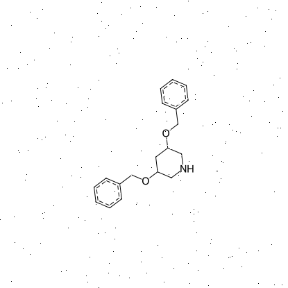 c1ccc(COC2CNCC(OCc3ccccc3)C2)cc1